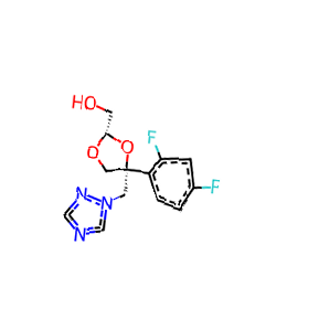 OC[C@H]1OC[C@](Cn2cncn2)(c2ccc(F)cc2F)O1